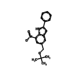 CC(C)(C)OCc1cc([N+](=O)[O-])c2[nH]c(-c3ccccc3)cc2c1